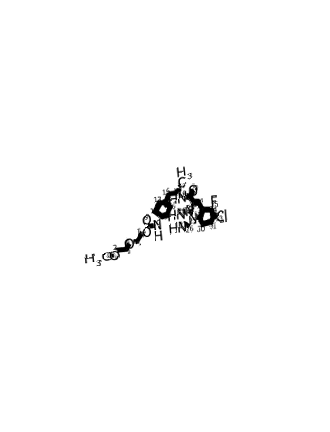 COCCOCCOC(=O)Nc1ccc(CC(C)NC(=O)/C=C/c2c(N(C=N)N=N)ccc(Cl)c2F)cc1